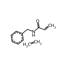 C=C.C=CC(=O)NCc1ccccc1